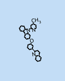 Cc1ccnc(-n2c3ccccc3c3ccc(Oc4cccc(-c5ccc6ccccc6n5)c4)cc32)c1